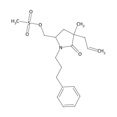 C=CCC1(C)CC(COS(C)(=O)=O)N(CCCc2ccccc2)C1=O